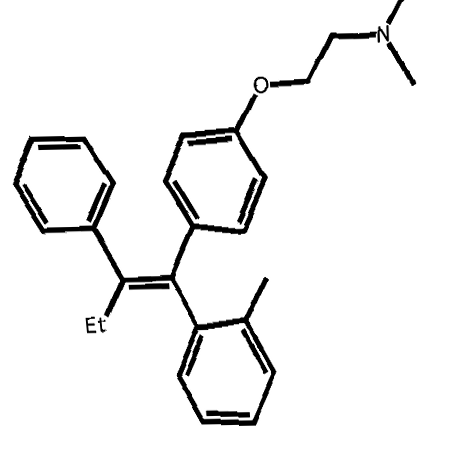 CCC(=C(c1ccc(OCCN(C)C)cc1)c1ccccc1C)c1ccccc1